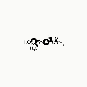 CCc1nc(C)ccc1COc1ccc2c(OC(C)=O)csc2c1